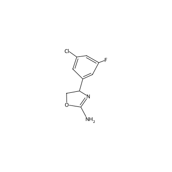 NC1=NC(c2cc(F)cc(Cl)c2)CO1